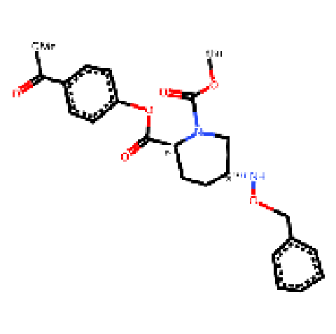 COC(=O)c1ccc(OC(=O)[C@@H]2CC[C@@H](NOCc3ccccc3)CN2C(=O)OC(C)(C)C)cc1